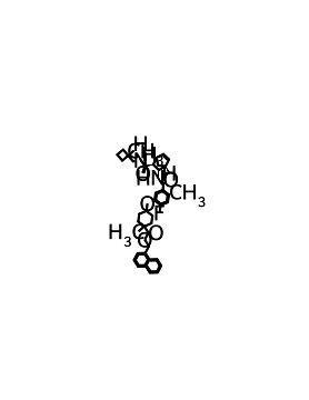 Cc1cc(F)c(OC2CCC(C)(C(=O)OCc3cccc4ccccc34)CC2)cc1C(=O)N[C@H]1[C@@H](C(=O)NCC2(C)CCC2)[C@@H]2C=C[C@H]1C2